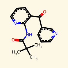 CC(C)(C)C(=O)Nc1ncccc1C(=O)c1cccnc1